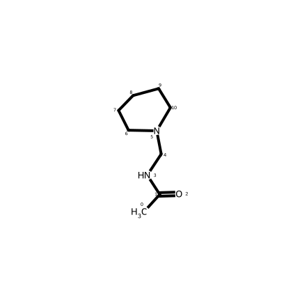 CC(=O)N[CH]N1CCCCC1